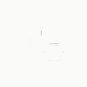 CCCCOS(C)(=O)=O.c1ccccc1